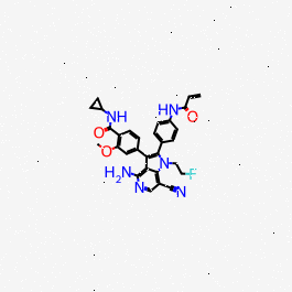 C=CC(=O)Nc1ccc(-c2c(-c3ccc(C(=O)NC4CC4)c(OC)c3)c3c(N)ncc(C#N)c3n2CCF)cc1